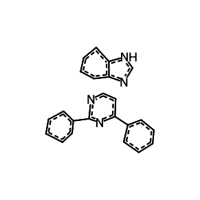 c1ccc(-c2ccnc(-c3ccccc3)n2)cc1.c1ccc2[nH]cnc2c1